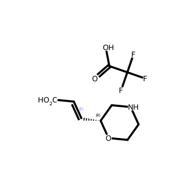 O=C(O)/C=C/[C@@H]1CNCCO1.O=C(O)C(F)(F)F